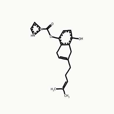 CC(C)=CCCC1=CCc2c(OC(=O)n3cc[nH]3)ccc(O)c2C1